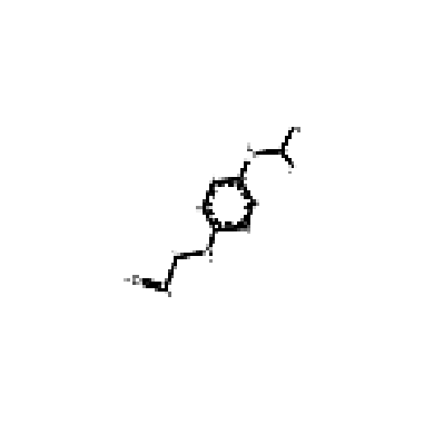 CC(C)Oc1ccc(OC[C]=O)cc1